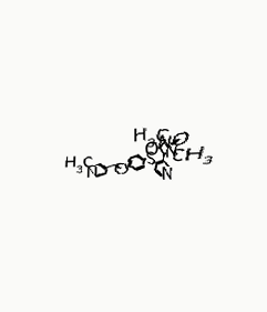 Cc1cc(COc2ccc(Sc3ccncc3C3C(=O)N(C)C(=O)N3C)cc2)ccn1